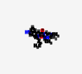 CCCCCN1C[C@H](C(=O)N(CCCN(C)C)C(=O)NCC)CC2c3cccc4[nH]cc(c34)C[C@H]21